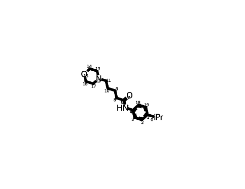 CC(C)c1ccc(NC(=O)CCCCN2CCOCC2)cc1